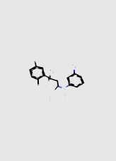 CCC(CC(C)Nc1cccc(N)c1)(N=O)c1cc(C)ccc1C